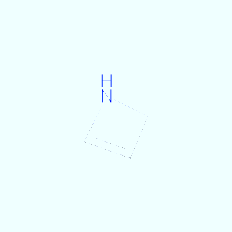 C1=CNC1